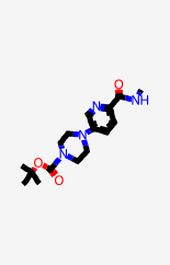 CNC(=O)c1ccc(N2CCN(C(=O)OC(C)(C)C)CC2)cn1